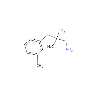 Cc1cccc(CC(C)(C)CN)c1